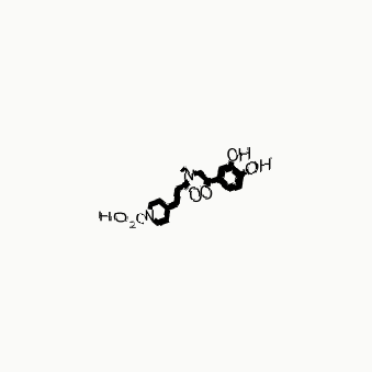 CN(CC(=O)c1ccc(O)c(O)c1)C(=O)C=CC1CCN(C(=O)O)CC1